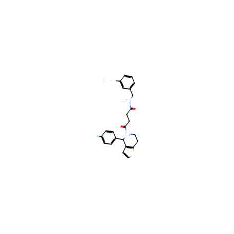 O=C(CCC(=O)N1CCc2sccc2C1c1ccc(F)cc1)NCc1cccc(C(F)(F)F)c1